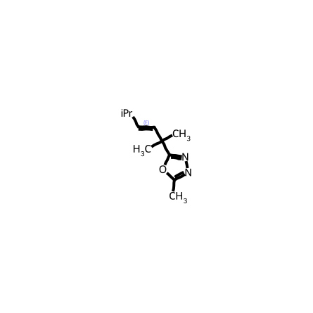 Cc1nnc(C(C)(C)/C=C/C(C)C)o1